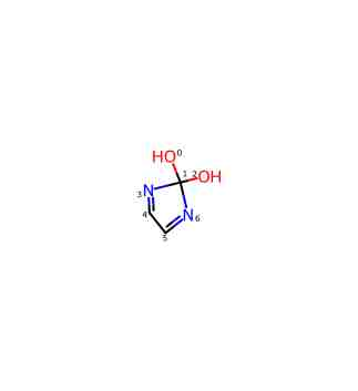 OC1(O)N=CC=N1